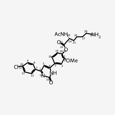 COc1cc(-c2cc(-c3ccc(Cl)cc3)nc(=O)[nH]2)ccc1OC(=O)[C@@H](CCCCN)NC(C)=O